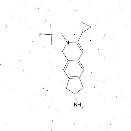 CC(C)(F)CN1Cc2cc3c(cc2C=C1C1CC1)C[C@H](N)C3